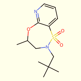 CC1CN(CC(C)(C)C)S(=O)(=O)c2cccnc2O1